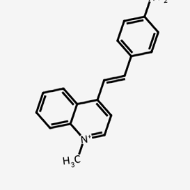 C[n+]1ccc(C=Cc2ccc([N+](=O)[O-])cc2)c2ccccc21